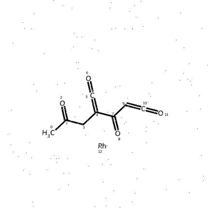 CC(=O)CC(=C=O)C(=O)C=C=O.[Rh]